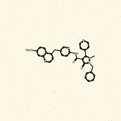 COc1ccc2c(Cc3ccc(NC(=O)c4c(-c5ccncc5)n(C)n(Cc5ccccc5)c4=O)nc3)ccnc2c1